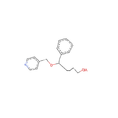 OCCCC(OCc1ccncc1)c1ccccc1